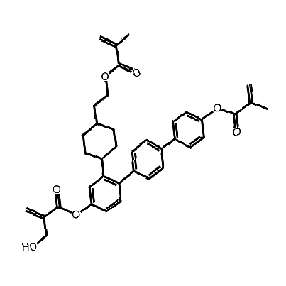 C=C(C)C(=O)OCCC1CCC(c2cc(OC(=O)C(=C)CO)ccc2-c2ccc(-c3ccc(OC(=O)C(=C)C)cc3)cc2)CC1